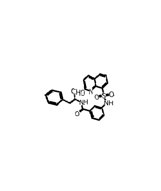 O=C[C@H](Cc1ccccc1)NC(=O)c1cccc(NS(=O)(=O)c2cccc3cccnc23)c1